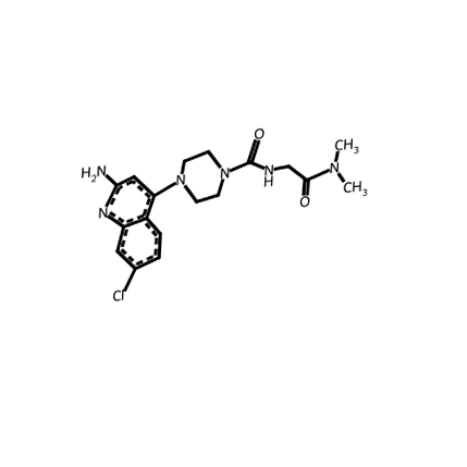 CN(C)C(=O)CNC(=O)N1CCN(c2cc(N)nc3cc(Cl)ccc23)CC1